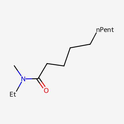 [CH2]CCCCCCCCC(=O)N(C)CC